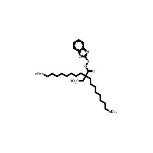 CCCCCCCCCCCCCCCCCCC(CCCCCCCCCCCCCCCCCC)(CC(=O)O)C(=O)OSc1nc2ccccc2o1